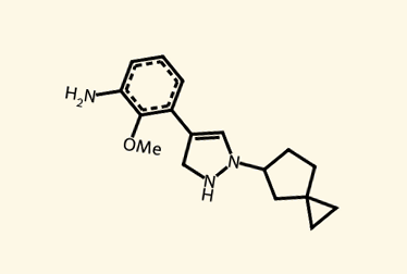 COc1c(N)cccc1C1=CN(C2CCC3(CC3)C2)NC1